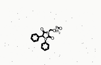 O=[PH2]OCN1C(=O)C(c2ccccc2)N(c2ccccc2)C1=O